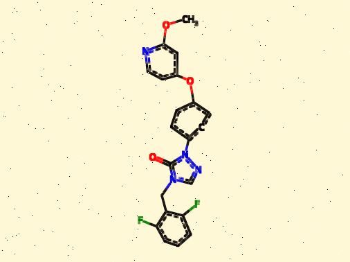 COc1cc(Oc2ccc(-n3ncn(Cc4c(F)cccc4F)c3=O)cc2)ccn1